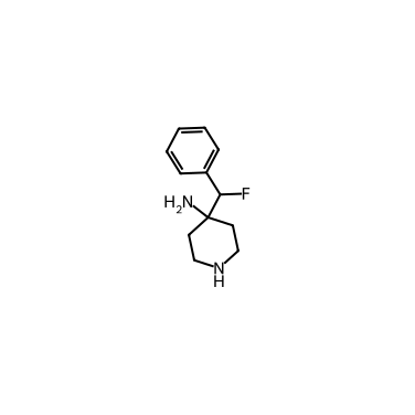 NC1(C(F)c2ccccc2)CCNCC1